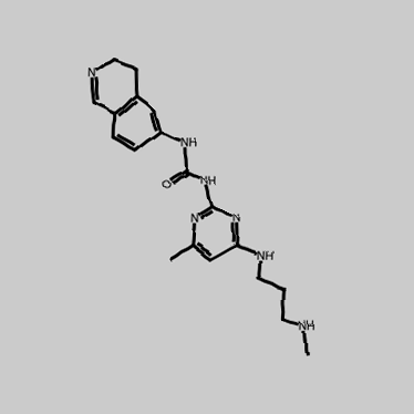 CNCCCNc1cc(C)nc(NC(=O)Nc2ccc3c(c2)CCN=C3)n1